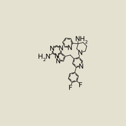 Nc1ncnc2c(Cc3cc(-c4ccc(F)c(F)c4)ncc3N3CCCC(N)(c4ccccn4)C3)cnn12